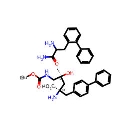 CC(C)(C)OC(=O)NC[C@@](C)(O)C[C@](N)(Cc1ccc(-c2ccccc2)cc1)C(=O)O.NC(=O)C(N)Cc1ccccc1-c1ccccc1